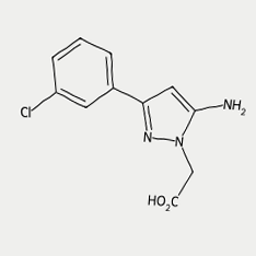 Nc1cc(-c2cccc(Cl)c2)nn1CC(=O)O